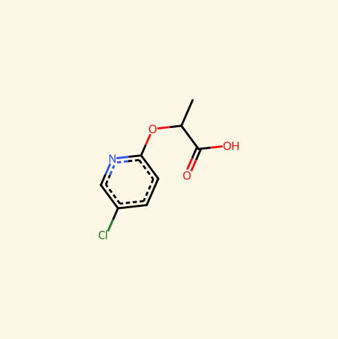 CC(Oc1ccc(Cl)cn1)C(=O)O